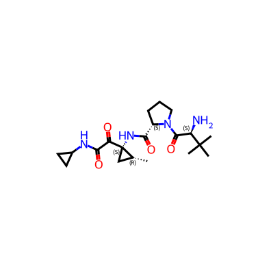 C[C@@H]1C[C@@]1(NC(=O)[C@@H]1CCCN1C(=O)[C@@H](N)C(C)(C)C)C(=O)C(=O)NC1CC1